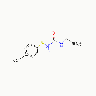 CCCCCCCCCNC(=O)NSc1ccc(C#N)cc1